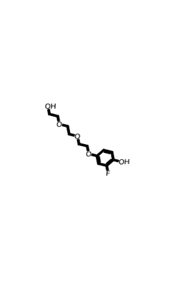 OCCOCCOCCOc1ccc(O)c(F)c1